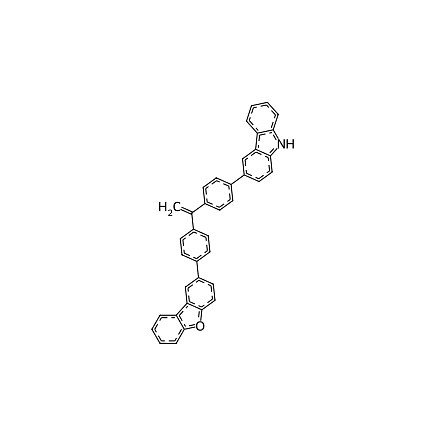 C=C(c1ccc(-c2ccc3[nH]c4ccccc4c3c2)cc1)c1ccc(-c2ccc3oc4ccccc4c3c2)cc1